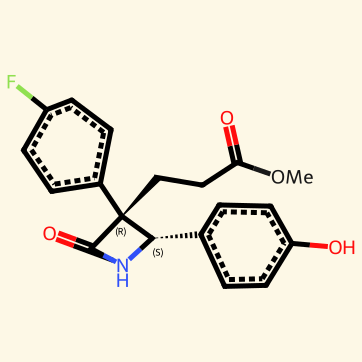 COC(=O)CC[C@]1(c2ccc(F)cc2)C(=O)N[C@H]1c1ccc(O)cc1